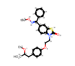 CCOC(Cc1ccc(OCCn2c(=O)sc3cc(C(=NOC(C)(C)C)c4ccccc4)ccc32)cc1)C(=O)O